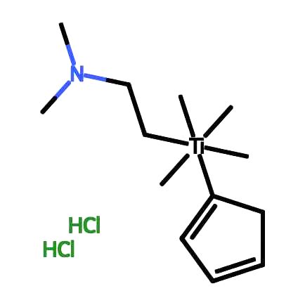 CN(C)C[CH2][Ti]([CH3])([CH3])([CH3])([CH3])[C]1=CC=CC1.Cl.Cl